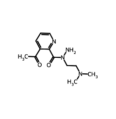 CC(=O)c1cccnc1C(=O)N(N)CCN(C)C